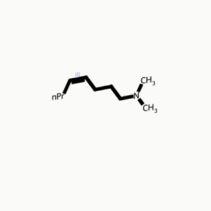 CCC/C=C\CCCN(C)C